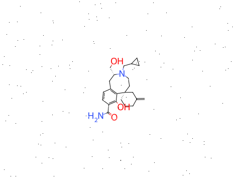 C=C1CCC[C@]2(CCN(CC3CC3)[C@@H](CO)Cc3ccc(C(N)=O)c(O)c32)C1